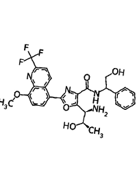 COc1ccc(-c2nc(C(=O)NC(CO)c3ccccc3)c([C@@H](N)[C@@H](C)O)o2)c2ccc(C(F)(F)F)nc12